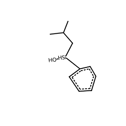 CC(C)C[SiH](O)c1ccccc1